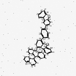 c1ccc2c(-c3c4ccccc4c(-c4ccc(-c5ccc(-c6ccc7oc8ccccc8c7c6)cc5)c5oc6ccccc6c45)c4ccccc34)cccc2c1